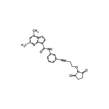 Cc1cc(C)n2ccc(C(=O)Nc3cccc(C#CCCON4C(=O)CCC4=O)c3)c2n1